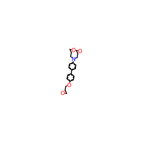 c1cc(-c2ccc(N(CC3CO3)CC3CO3)cc2)ccc1OCC1CO1